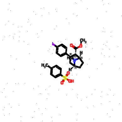 COC(=O)[C@@H]1[C@H]2CC[C@@H](C[C@H]1c1ccc(I)cc1)N2C.Cc1ccc(S(=O)(=O)O)cc1